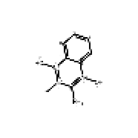 C[n+]1c(N)[n+](O)c2ccccc2[n+]1O